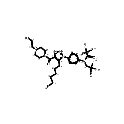 O=C(c1nnn(-c2ccc(N(CC(F)(F)F)C(=O)C(F)(F)F)cc2)c1CCCCCF)N1CCN(CCO)CC1